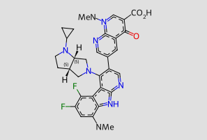 CNc1cc(F)c(F)c2c1[nH]c1ncc(-c3cnc4c(c3)c(=O)c(C(=O)O)cn4NC)c(N3C[C@@H]4CCN(C5CC5)[C@@H]4C3)c12